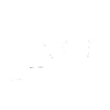 CCOCCn1cc(CN(C)C)nn1